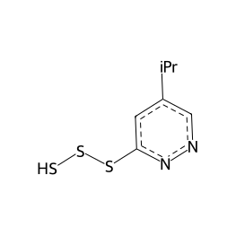 CC(C)c1cnnc(SSS)c1